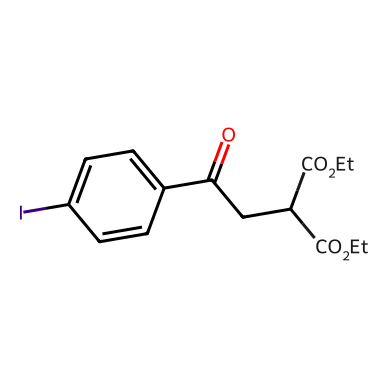 CCOC(=O)C(CC(=O)c1ccc(I)cc1)C(=O)OCC